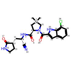 C[Si]1(C)C[C@H](C(=O)N[C@H](C#N)C[C@@H]2CCNC2=O)N(C(=O)c2cc3cccc(Cl)c3[nH]2)C1